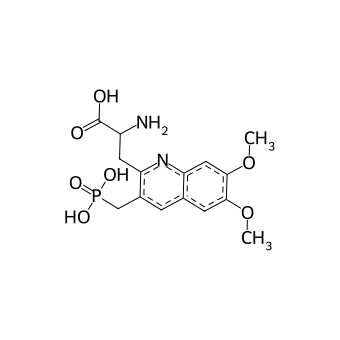 COc1cc2cc(CP(=O)(O)O)c(CC(N)C(=O)O)nc2cc1OC